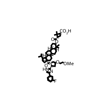 C=C(C)C1CC[C@]2(C(=O)N3C[C@H](OCCOC)C[C@H]3c3nc(-c4cccc(F)c4)c[nH]3)CC[C@]3(C)[C@H](CC[C@@H]4[C@@]5(C)CC[C@H](OC(=O)[C@H]6C[C@@H](C(=O)O)C6(C)C)C(C)(C)[C@@H]5CC[C@]43C)[C@@H]12